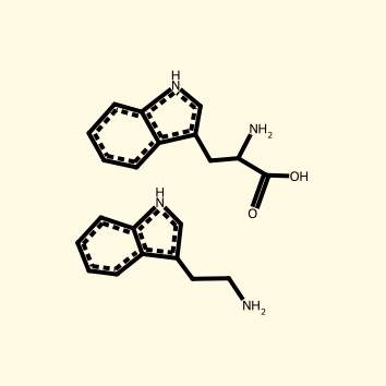 NC(Cc1c[nH]c2ccccc12)C(=O)O.NCCc1c[nH]c2ccccc12